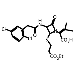 CCOC(=O)CCSC1C(NC(=O)Cc2cc(Cl)ccc2Cl)C(=O)N1C(C(=O)O)=C(C)C